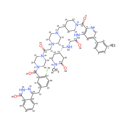 CCc1cccc(-c2cnc(C(=O)N3CCC(CN4CCN(CC(=O)N5CCN(C(=O)c6cc(Cc7n[nH]c(=O)c8ccccc78)ccc6F)CC5)CC4)CC3)c(NC(=O)CNC[C@H]3CCN(C)C(=O)C3)c2)c1